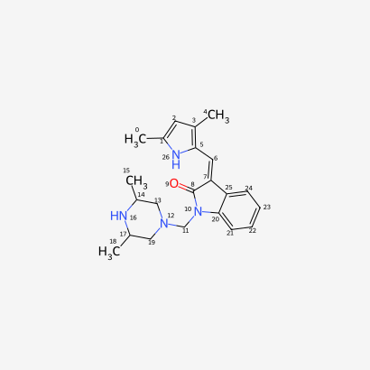 Cc1cc(C)c(/C=C2\C(=O)N(CN3CC(C)NC(C)C3)c3ccccc32)[nH]1